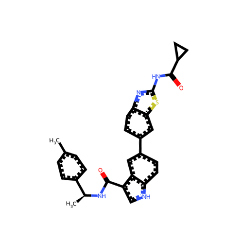 Cc1ccc([C@H](C)NC(=O)c2c[nH]c3ccc(-c4ccc5nc(NC(=O)C6CC6)sc5c4)cc23)cc1